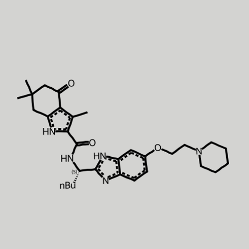 CCCC[C@H](NC(=O)c1[nH]c2c(c1C)C(=O)CC(C)(C)C2)c1nc2ccc(OCCN3CCCCC3)cc2[nH]1